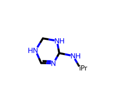 CC(C)NC1N=CNCN1